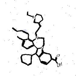 C=C/C=C\c1c(C)ccc2c1N(CCC1CCCN(CC)C1)CCn1c-2c(C2CCCCC2)c2ccc(C(=O)O)cc21